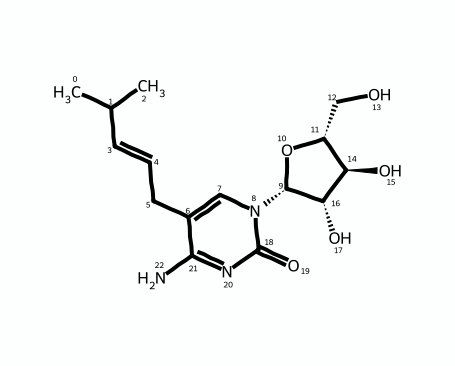 CC(C)C=CCc1cn([C@@H]2O[C@H](CO)[C@@H](O)[C@@H]2O)c(=O)nc1N